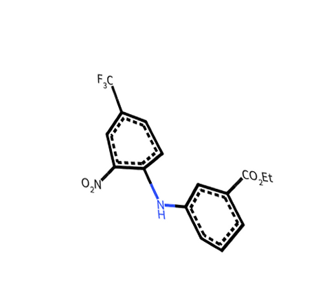 CCOC(=O)c1cccc(Nc2ccc(C(F)(F)F)cc2[N+](=O)[O-])c1